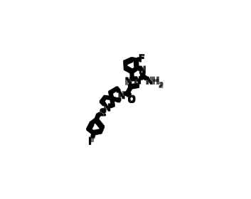 Nc1nc2c(F)cccc2c2nc(C(=O)N3CCC4(CCN(CCc5ccc(F)cc5)C4)C3)cn12